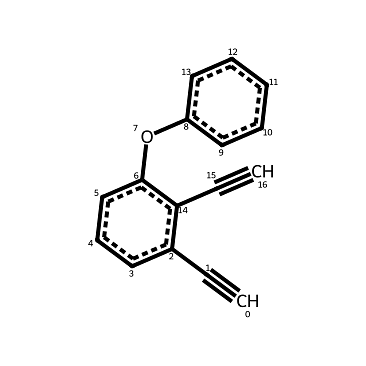 C#Cc1cccc(Oc2ccccc2)c1C#C